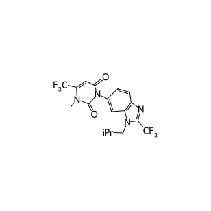 CC(C)Cn1c(C(F)(F)F)nc2ccc(-n3c(=O)cc(C(F)(F)F)n(C)c3=O)cc21